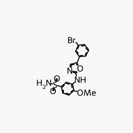 COc1ccc(S(N)(=O)=O)cc1Nc1ncc(-c2cccc(Br)c2)o1